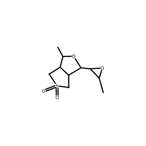 CC1OC(C2OC2C)C2CS(=O)(=O)CC12